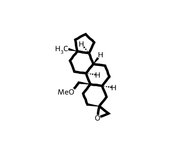 COC[C@]12CC[C@]3(CO3)C[C@@H]1CC[C@H]1[C@@H]3CCC[C@@]3(C)CC[C@@H]12